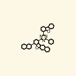 c1ccc(-c2nc(-c3cccc4c3oc3ccccc34)nc(-c3ccc(-c4ccc5ccccc5c4)c4oc5cc6ccccc6cc5c34)n2)cc1